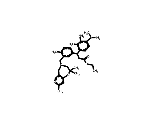 CCOC(=O)CC(c1ccc(C)c(CN2Cc3cnc(C)cc3OC(C)(C)C2)c1)c1ccc(N(C)N)c(N)c1C